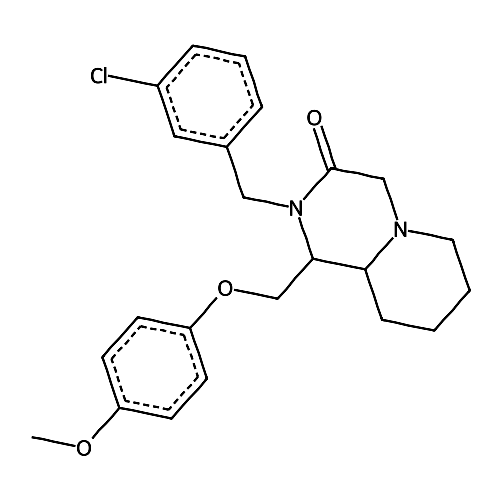 COc1ccc(OCC2C3CCCCN3CC(=O)N2Cc2cccc(Cl)c2)cc1